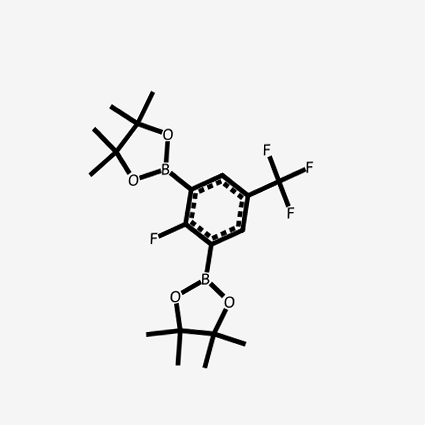 CC1(C)OB(c2cc(C(F)(F)F)cc(B3OC(C)(C)C(C)(C)O3)c2F)OC1(C)C